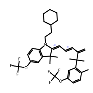 C=C(/C=C/C=C1/N(CCC2CCCCC2)c2ccc(OC(F)(F)F)cc2C1(C)C)C(C)(C)c1cc(OC(F)(F)F)ccc1C